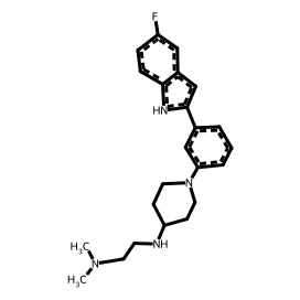 CN(C)CCNC1CCN(c2cccc(-c3cc4cc(F)ccc4[nH]3)c2)CC1